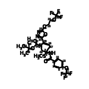 CS[C@@]1(NC(=O)c2ccc(OC(F)(F)F)cc2)CC=C(c2nnc(OCCOC(F)(F)F)o2)N(C(=O)OC(C)(C)C)C1